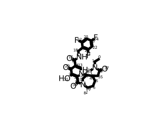 CCN1C[C@@]2(CC[C@H](C)N3C[C@H]2n2cc(C(=O)NCc4c(F)cc(F)cc4F)c(=O)c(O)c2C3=O)CC1=O